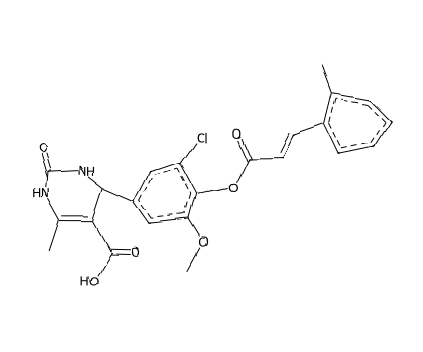 COc1cc(C2NC(=O)NC(C)=C2C(=O)O)cc(Cl)c1OC(=O)C=Cc1ccccc1C